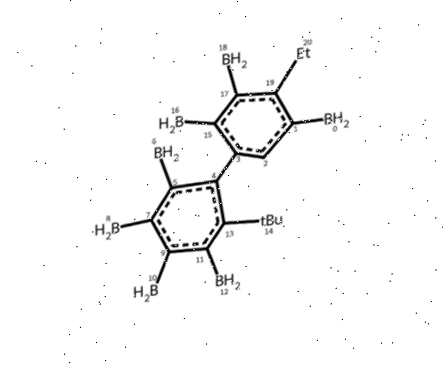 Bc1cc(-c2c(B)c(B)c(B)c(B)c2C(C)(C)C)c(B)c(B)c1CC